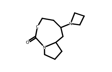 O=C1CCCC(N2CCC2)CC2CCCN12